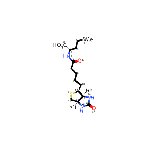 CSCC[C@H](NC(=O)CCCC[C@@H]1SC[C@@H]2NC(=O)N[C@@H]21)C(=O)O